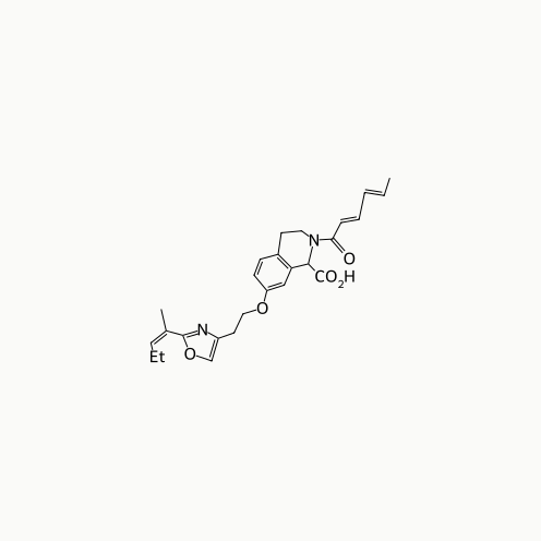 CC=CC=CC(=O)N1CCc2ccc(OCCc3coc(/C(C)=C\CC)n3)cc2C1C(=O)O